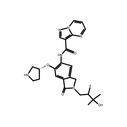 CC(C)(O)C(F)CN1Cc2cc(NC(=O)c3cnn4cccnc34)c(O[C@@H]3CCNC3)cc2C1=O